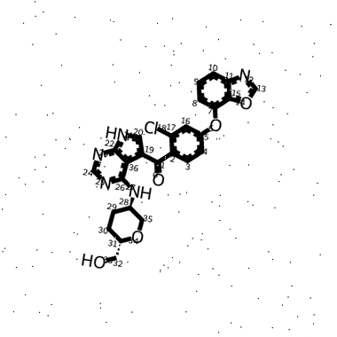 O=C(c1ccc(Oc2cccc3ncoc23)cc1Cl)c1c[nH]c2ncnc(N[C@@H]3CC[C@@H](CO)OC3)c12